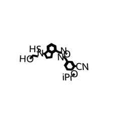 CC(C)OC1CC=C(c2nc(-c3cccc4c3CCC4N(S)CCO)no2)C=C1C#N